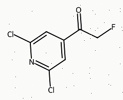 O=C(CF)c1cc(Cl)nc(Cl)c1